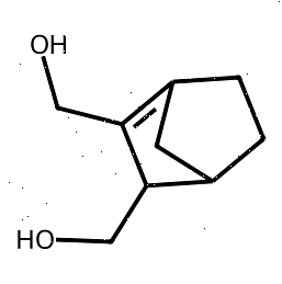 OCC1=C2CCC(C2)C1CO